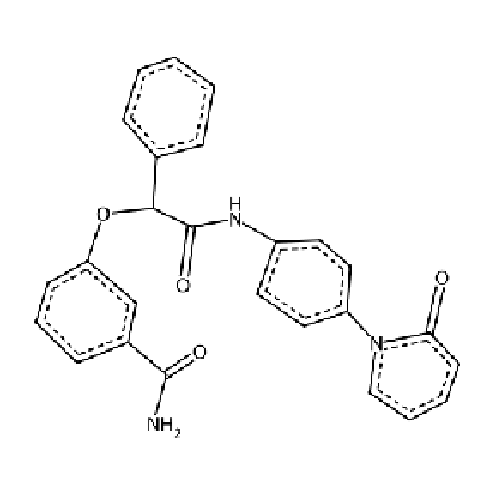 NC(=O)c1cccc(OC(C(=O)Nc2ccc(-n3ccccc3=O)cc2)c2ccccc2)c1